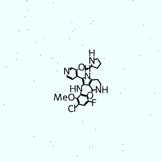 COc1c(Cl)cc(F)cc1Nc1c(-c2ccncc2OCC2CCCN2)[nH]c2c1C(=O)NCC2